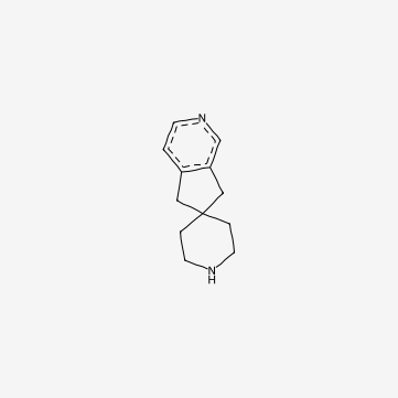 c1cc2c(cn1)CC1(CCNCC1)C2